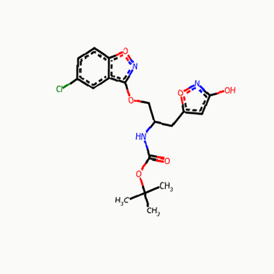 CC(C)(C)OC(=O)NC(COc1noc2ccc(Cl)cc12)Cc1cc(O)no1